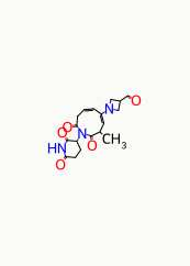 CC1/C=C(N2CC(C=O)C2)\C=C/CC(=O)N(C2CCC(=O)NC2=O)C1=O